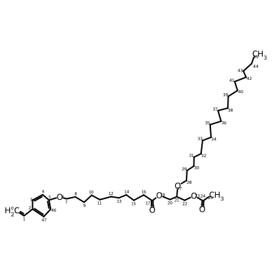 C=Cc1ccc(OCCCCCCCCCCC(=O)OCC(COC(C)=O)OCCCCCCCCCCCCCCCCCC)cc1